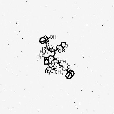 CC1C2CC(C(=O)OC(C)(C)C)C(C2)C1CC(CC(C)(CC(C)(C)C(=O)OC12CC3CC(CC(O)(C3)C1)C2)C(=O)OC1CCOC1=O)C(=O)OC(C)(C)CCOC(=O)C12CC3CC(CC(C3)C1)C2